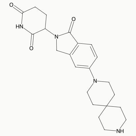 O=C1CCC(N2Cc3cc(N4CCC5(CCNCC5)CC4)ccc3C2=O)C(=O)N1